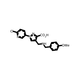 COc1ccc(CNCc2cn(-c3ccc(Cl)nc3)nc2C(=O)O)cc1